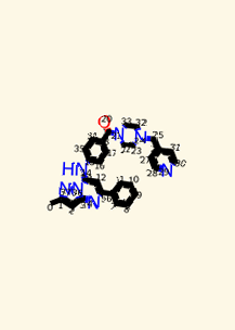 Cc1cc2nc(-c3ccccc3)cc(Nc3ccc(C(=O)N4CCN(Cc5ccncc5)CC4)cc3)n2n1